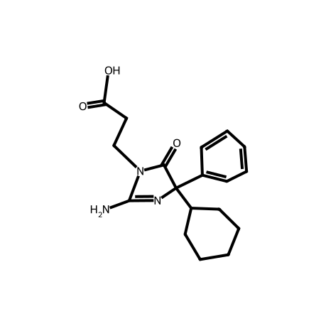 NC1=NC(c2ccccc2)(C2CCCCC2)C(=O)N1CCC(=O)O